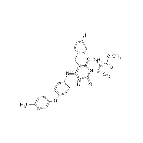 COC(=O)[C@H](N)[C@H](C)n1c(=O)[nH]/c(=N\c2ccc(Oc3ccc(C)nc3)cc2)n(Cc2ccc(Cl)cc2)c1=O